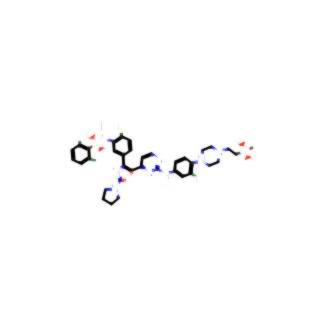 CS(=O)(=O)CCN1CCN(c2ccc(Nc3nccc(-c4oc(N5CCCC5)nc4-c4ccc(F)c(NS(=O)(=O)c5c(F)cccc5F)c4)n3)cc2F)CC1